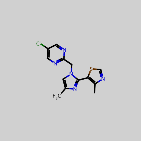 Cc1ncsc1-c1nc(C(F)(F)F)cn1Cc1ncc(Cl)cn1